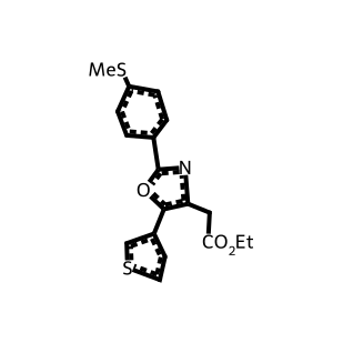 CCOC(=O)Cc1nc(-c2ccc(SC)cc2)oc1-c1ccsc1